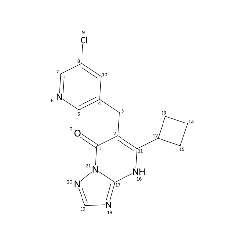 O=c1c(Cc2cncc(Cl)c2)c(C2CCC2)[nH]c2ncnn12